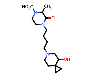 CC1C(=O)N(CCCCN2CCC3(CC3)C(O)C2)CCN1C(=O)O